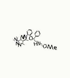 COCCNCCC(Oc1ccccc1-n1nc2c(N(C)C)nnc(C)c2c1C)c1ccccc1